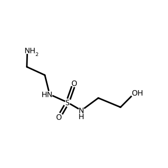 NCCNS(=O)(=O)NCCO